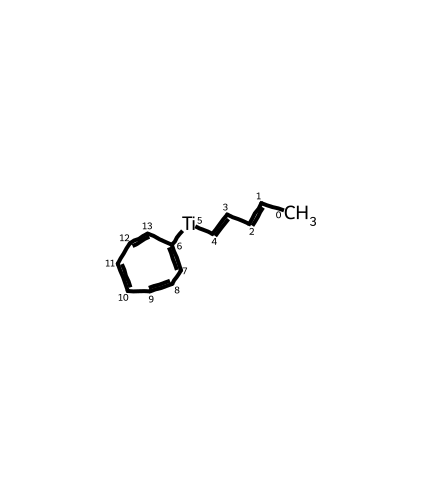 CC=CC=[CH][Ti][C]1=CC=CC=CC=C1